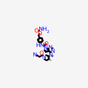 C[C@@H]1CCN(C(=O)CC#N)C[C@@H]1N(C)c1ncnc2c1ccn2C(=O)Nc1ccc(COC(N)=O)cc1